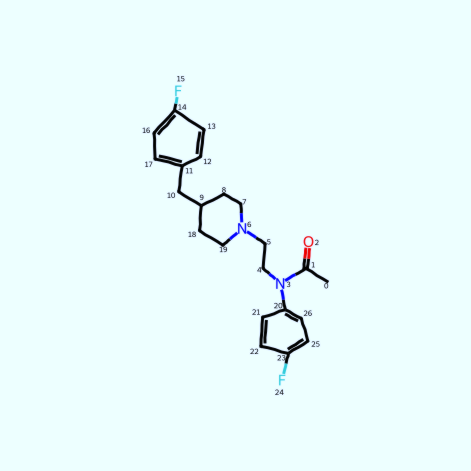 CC(=O)N(CCN1CCC(Cc2ccc(F)cc2)CC1)c1ccc(F)cc1